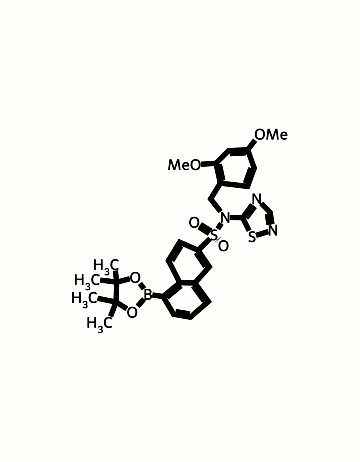 COc1ccc(CN(c2ncns2)S(=O)(=O)c2ccc3c(B4OC(C)(C)C(C)(C)O4)cccc3c2)c(OC)c1